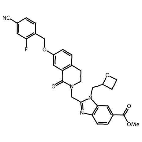 COC(=O)c1ccc2nc(CN3CCc4ccc(OCc5ccc(C#N)cc5F)cc4C3=O)n(CC3CCO3)c2c1